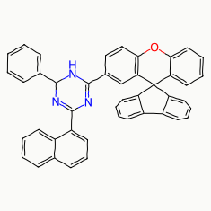 c1ccc(C2N=C(c3cccc4ccccc34)N=C(c3ccc4c(c3)C3(c5ccccc5O4)c4ccccc4-c4ccccc43)N2)cc1